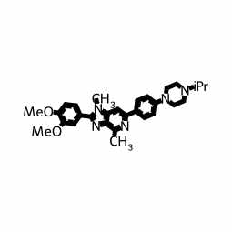 COc1ccc(-c2nc3c(C)nc(-c4ccc(N5CCN(C(C)C)CC5)cc4)cc3n2C)cc1OC